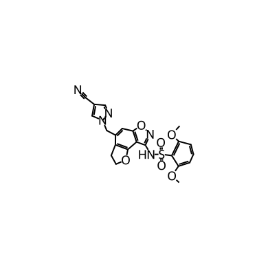 COc1cccc(OC)c1S(=O)(=O)Nc1noc2cc(Cn3cc(C#N)cn3)c3c(c12)OCC3